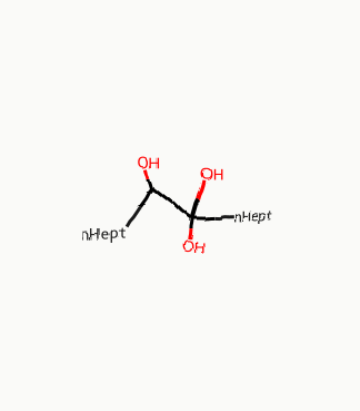 CCCCCCCC(O)C(O)(O)CCCCCCC